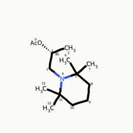 CC(=O)O[C@H](C)CN1C(C)(C)CCCC1(C)C